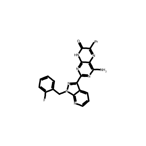 CC(C)c1nc2c(N)nc(-c3nn(Cc4ccccc4F)c4ncccc34)nc2[nH]c1=O